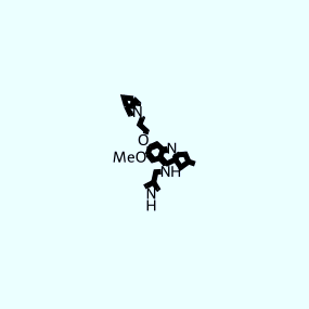 COc1cc2c(NCC3CNC3)c3c(nc2cc1OCCCN1CC2CC(C2)C1)CC(C)C3